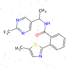 Cc1cnc(-c2ccccc2C(=O)NC(C)c2cnc(C(F)(F)F)nc2)s1